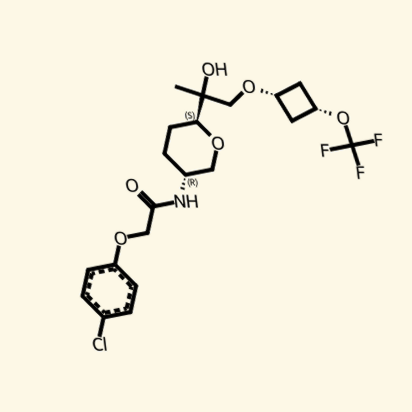 CC(O)(CO[C@H]1C[C@@H](OC(F)(F)F)C1)[C@@H]1CC[C@@H](NC(=O)COc2ccc(Cl)cc2)CO1